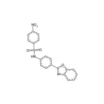 O=[N+]([O-])c1ccc(S(=O)(=O)Nc2ccc(-c3nc4ccccc4o3)cc2)cc1